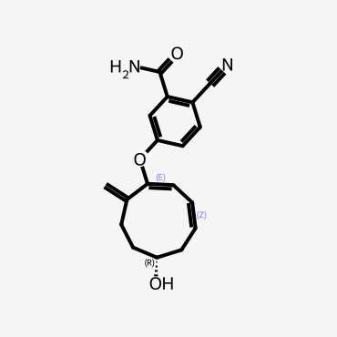 C=C1CC[C@@H](O)C/C=C\C=C/1Oc1ccc(C#N)c(C(N)=O)c1